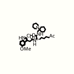 COc1ccc2[nH]c(C)c(CC(=O)N[C@@H](CCCCCC(C)=O)C(=O)NCC3(N4CCCCC4)CCCCC3)c2c1